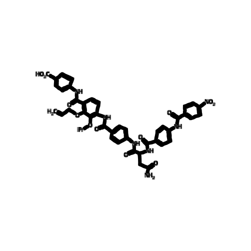 C=CCOc1c(C(=O)Nc2ccc(C(=O)O)cc2)ccc(NC(=O)c2ccc(NC(=O)C(CC(N)=O)NC(=O)c3ccc(NC(=O)c4ccc([N+](=O)[O-])cc4)cc3)cc2)c1OC(C)C